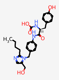 CCCCc1ncc(CO)n1Cc1ccc(NC(=O)[C@H](Cc2ccc(O)cc2)NC(=O)O)cc1